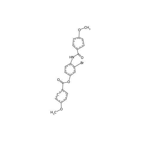 COc1ccc(C(=O)Nc2ccc(OC(=O)c3ccc(OC)cc3)cc2Br)cc1